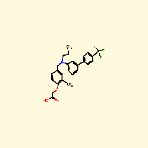 CCCN(Cc1ccc(OCC(=O)O)c(C)c1)c1cccc(-c2ccc(C(F)(F)F)cc2)c1